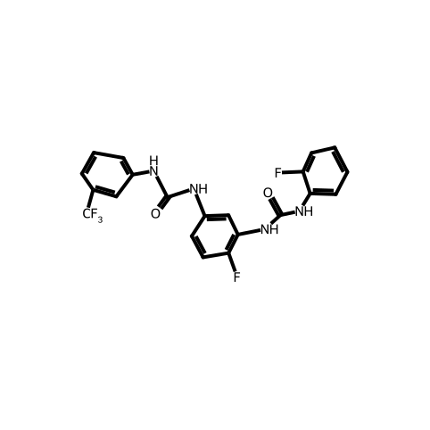 O=C(Nc1cccc(C(F)(F)F)c1)Nc1ccc(F)c(NC(=O)Nc2ccccc2F)c1